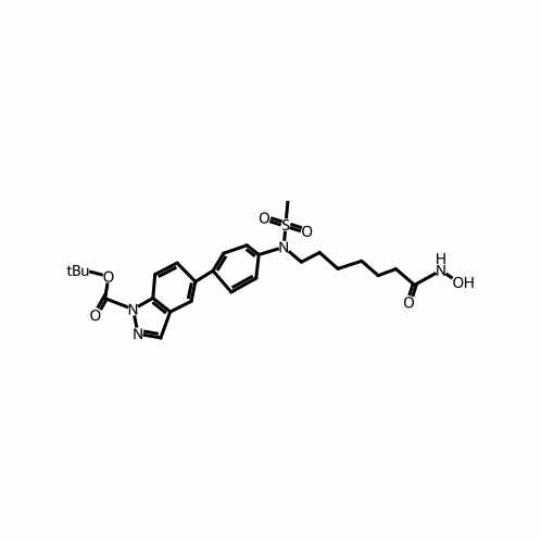 CC(C)(C)OC(=O)n1ncc2cc(-c3ccc(N(CCCCCCC(=O)NO)S(C)(=O)=O)cc3)ccc21